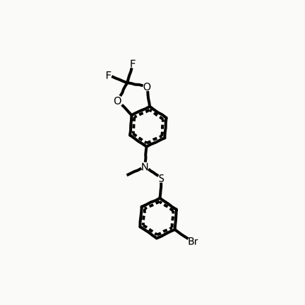 CN(Sc1cccc(Br)c1)c1ccc2c(c1)OC(F)(F)O2